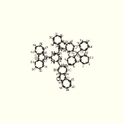 c1ccc(C2(c3ccccc3)c3ccccc3-c3cc4c5ccccc5n(-c5nc(-c6ccc7c(c6)oc6ccccc67)nc(-n6c7ccccc7c7ccccc76)n5)c4cc32)cc1